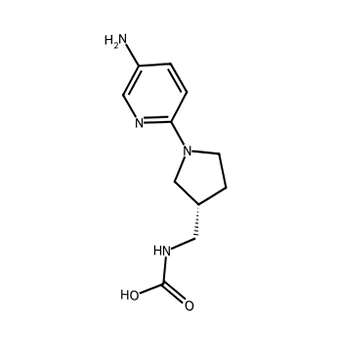 Nc1ccc(N2CC[C@H](CNC(=O)O)C2)nc1